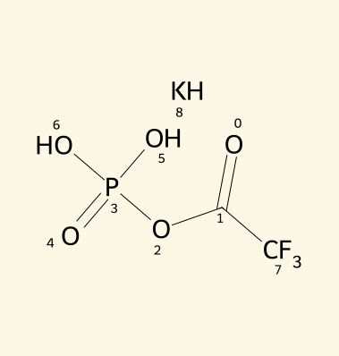 O=C(OP(=O)(O)O)C(F)(F)F.[KH]